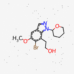 COc1cc2cnn(C3CCCCO3)c2c(CCO)c1Br